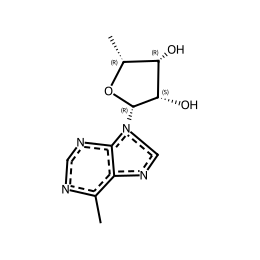 Cc1ncnc2c1ncn2[C@@H]1O[C@H](C)[C@H](O)[C@@H]1O